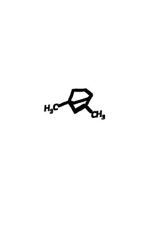 CC1=CC2(C)CCC1CC2